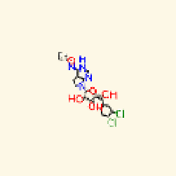 CCON=c1[nH]cnc2c1ccn2[C@@H]1O[C@H]([C@H](O)c2ccc(Cl)c(Cl)c2)[C@@H](O)[C@H]1O